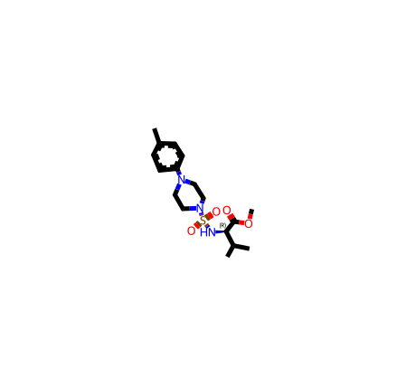 COC(=O)[C@H](NS(=O)(=O)N1CCN(c2ccc(C)cc2)CC1)C(C)C